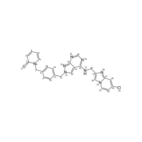 O=c1ccccn1Cc1ccc(Cn2cc3c(NCc4cn5ccc(Cl)cc5n4)ncnc3n2)cc1